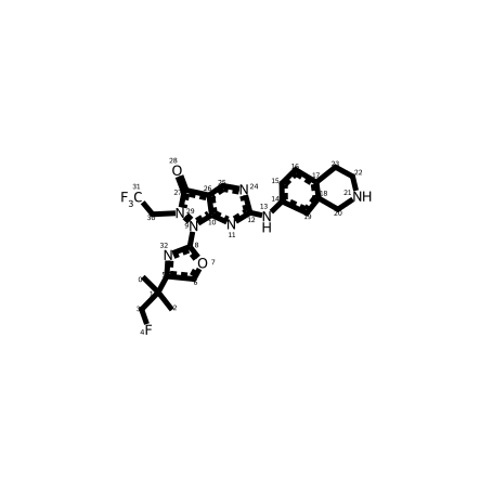 CC(C)(CF)c1coc(-n2c3nc(Nc4ccc5c(c4)CNCC5)ncc3c(=O)n2CC(F)(F)F)n1